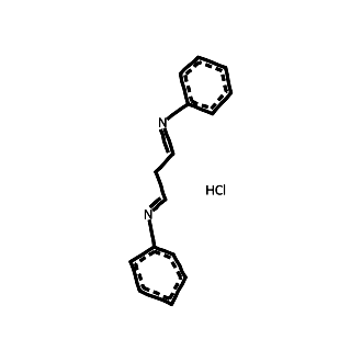 C(CC=Nc1ccccc1)=Nc1ccccc1.Cl